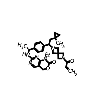 C=CC(=O)N1CC2(C1)CN(C(CC1(C)CC1)c1ccc([C@H](C)Nc3ncc4c(n3)N(CC)C(=O)OC4)cc1)C2